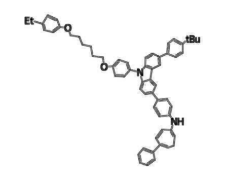 CCc1ccc(OCCCCCCOc2ccc(-n3c4ccc(-c5ccc(NC6=CCC=C(c7ccccc7)C=C6)cc5)cc4c4cc(-c5ccc(C(C)(C)C)cc5)ccc43)cc2)cc1